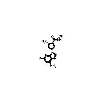 C[C@H]1C[C@@H](n2cnc3c(N)nc(F)nc32)C[C@@H]1C(=O)NO